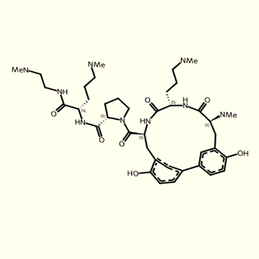 CNCCC[C@@H]1NC(=O)[C@@H](NC)Cc2cc(ccc2O)-c2ccc(O)c(c2)C[C@@H](C(=O)N2CCC[C@H]2C(=O)N[C@@H](CCCNC)C(=O)NCCNC)NC1=O